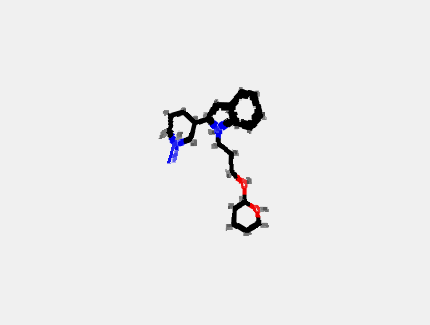 c1ccc2c(c1)cc(C1CCCNC1)n2CCCOC1CCCCO1